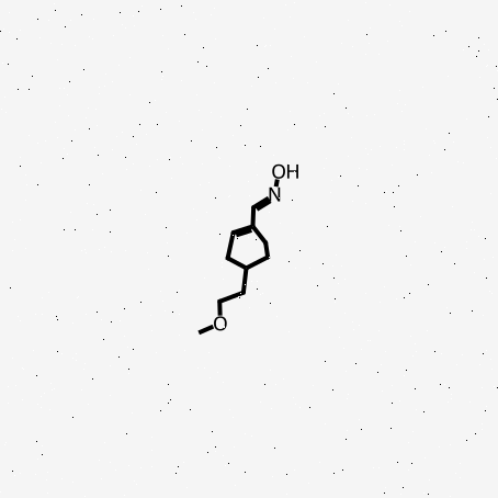 COCCC1CC=C(C=NO)CC1